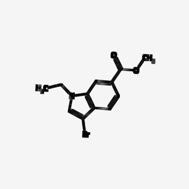 CCn1cc(Br)c2ccc(C(=O)OC)cc21